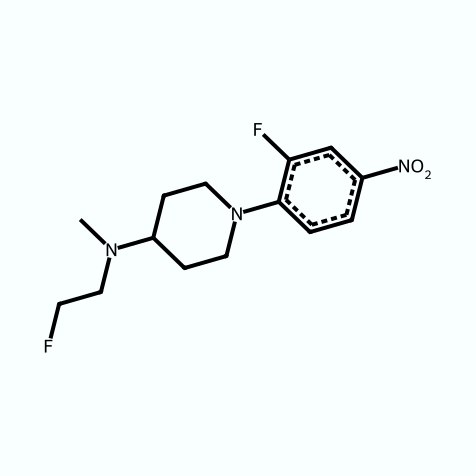 CN(CCF)C1CCN(c2ccc([N+](=O)[O-])cc2F)CC1